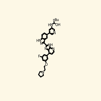 CCCCC(O)Nc1cncc(-c2ccc3[nH]nc(-c4nc5c(-c6cc(F)cc(OCCN7CCCC7)c6)ccnc5[nH]4)c3c2)c1